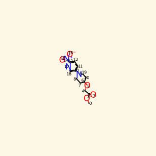 COC(=O)COC1CCN(c2ccc([N+](=O)[O-])nc2)CC1